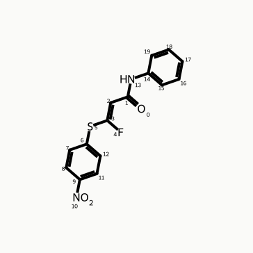 O=C(C=C(F)Sc1ccc([N+](=O)[O-])cc1)Nc1ccccc1